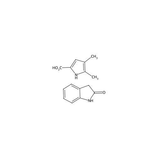 Cc1cc(C(=O)O)[nH]c1C.O=C1Cc2ccccc2N1